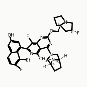 CCc1c(F)ccc2cc(O)cc(-c3nc(C)c4c(N5C[C@H]6CC[C@@H](C5)N6)nc(OC[C@@]56CCCN5C[C@H](F)C6)nc4c3F)c12